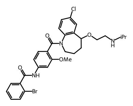 COc1cc(NC(=O)c2ccccc2Br)ccc1C(=O)N1CCCC(OCCNC(C)C)c2cc(Cl)ccc21